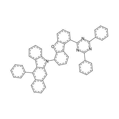 c1ccc(-c2nc(-c3ccccc3)nc(-c3cccc4oc5c(-n6c7ccccc7c7c(-c8ccccc8)c8ccccc8cc76)cccc5c34)n2)cc1